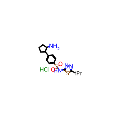 CC(C)c1nnc(NS(=O)(=O)c2ccc(C3CCCC3N)cc2)s1.Cl